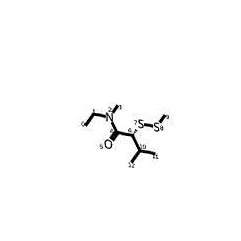 CCN(C)C(=O)[C@H](SSC)C(C)C